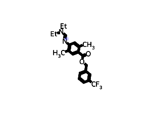 CCN(/C=N/c1cc(C)c(C(=O)OCc2cccc(C(F)(F)F)c2)cc1C)CC